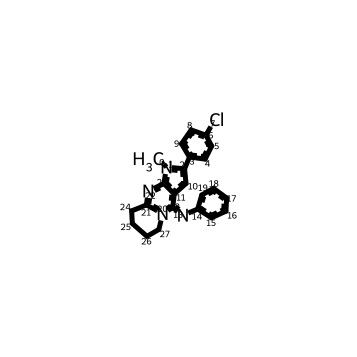 Cn1c(-c2ccc(Cl)cc2)cc2/c(=N\c3ccccc3)n3c(nc21)CCCC3